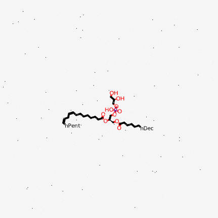 CCCCC/C=C\C/C=C\CCCCCCCC(=O)O[C@H](COC(=O)CCCCCCCCCCCCCCC)COP(=O)(O)OC[C@H](O)CO